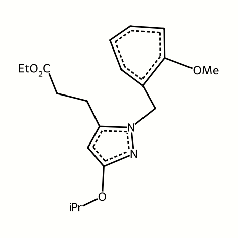 CCOC(=O)CCc1cc(OC(C)C)nn1Cc1ccccc1OC